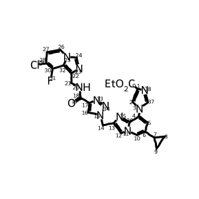 CCOC(=O)c1cn(-c2cc(C3CC3)cn3cc(Cn4cc(C(=O)NCc5ncn6ccc(Cl)c(F)c56)nn4)nc23)cn1